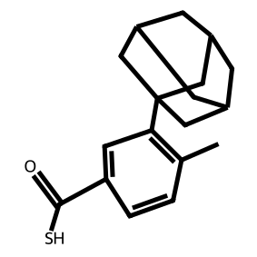 Cc1ccc(C(=O)S)cc1C12CC3CC(CC(C3)C1)C2